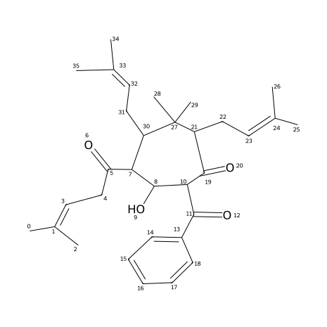 CC(C)=CCC(=O)C1C(O)C(C(=O)c2ccccc2)C(=O)C(CC=C(C)C)C(C)(C)C1CC=C(C)C